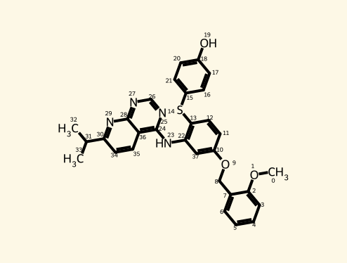 COc1ccccc1COc1ccc(Sc2ccc(O)cc2)c(Nc2ncnc3nc(C(C)C)ccc23)c1